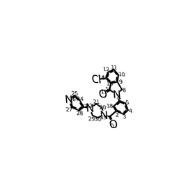 O=C(c1cccc(N2Cc3cccc(Cl)c3C2=O)c1)N1CCN(c2ccncc2)CC1